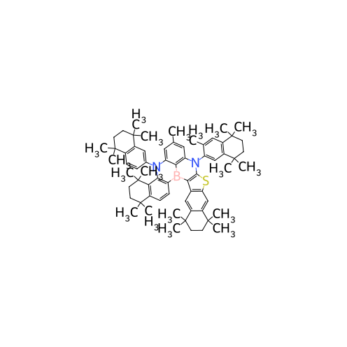 Cc1cc2c3c(c1)N(c1ccc4c(c1)C(C)(C)CCC4(C)C)c1c(ccc4c1C(C)(C)CCC4(C)C)B3c1c(sc3cc4c(cc13)C(C)(C)CCC4(C)C)N2c1cc2c(cc1C)C(C)(C)CCC2(C)C